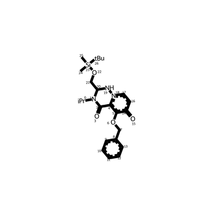 CC(C)N1C(=O)c2c(OCc3ccccc3)c(=O)ccn2NC1CO[Si](C)(C)C(C)(C)C